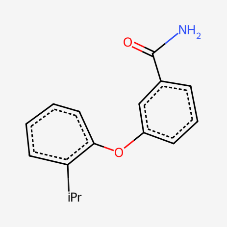 CC(C)c1ccccc1Oc1cccc(C(N)=O)c1